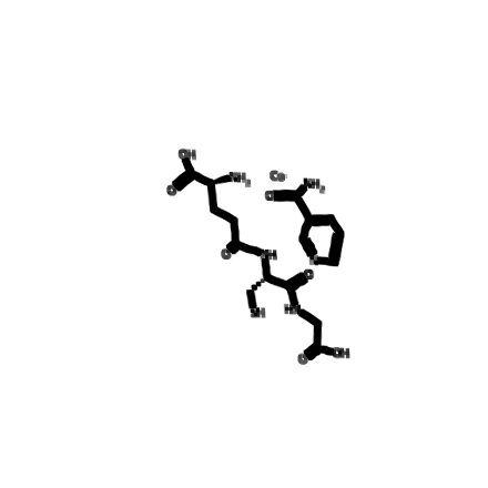 NC(=O)c1cccnc1.N[C@@H](CCC(=O)N[C@@H](CS)C(=O)NCC(=O)O)C(=O)O.[Co]